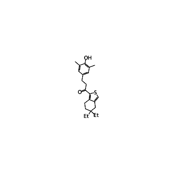 CCC1(CC)CCc2c(csc2C(=O)CCc2cc(C)c(O)c(C)c2)C1